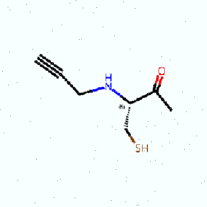 C#CCN[C@@H](CS)C(C)=O